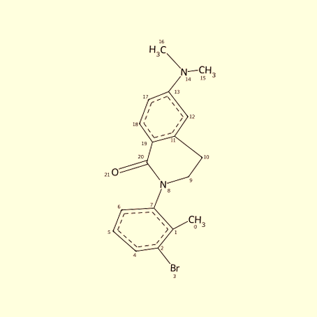 Cc1c(Br)cccc1N1CCc2cc(N(C)C)ccc2C1=O